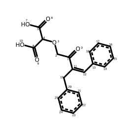 O=C(COC(C(=O)O)C(=O)O)C(=Cc1ccccc1)Cc1ccccc1